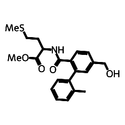 COC(=O)C(CCSC)NC(=O)c1ccc(CO)cc1-c1ccccc1C